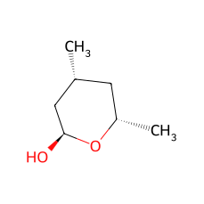 C[C@@H]1C[C@H](C)O[C@@H](O)C1